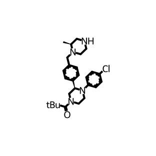 C[C@H]1CNCCN1Cc1ccc([C@@H]2CN(C(=O)C(C)(C)C)CCN2c2ccc(Cl)cc2)cc1